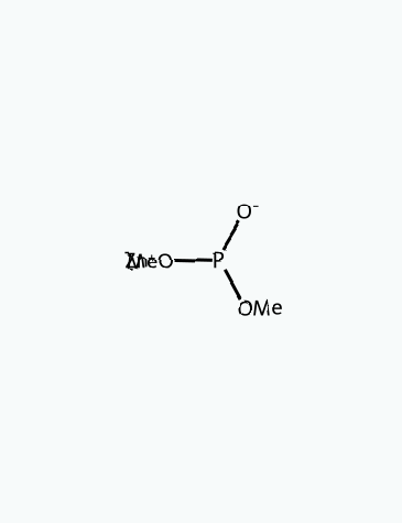 COP([O-])OC.[Zn+]